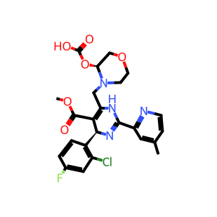 COC(=O)C1=C(CN2CCOC[C@@H]2OC(=O)O)NC(c2cc(C)ccn2)=N[C@H]1c1ccc(F)cc1Cl